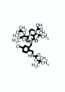 CC(=O)O[C@@H](C(=O)N1CCN(C(=O)O)[C@@H](C(C)(C)C)C1C(=O)NCc1cc(Cl)ccc1CNC(=O)OC(C)(C)C)C(C)(C)C